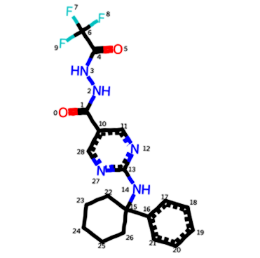 O=C(NNC(=O)C(F)(F)F)c1cnc(NC2(c3ccccc3)CCCCC2)nc1